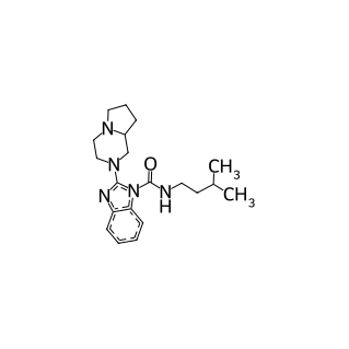 CC(C)CCNC(=O)n1c(N2CCN3CCCC3C2)nc2ccccc21